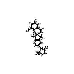 CN1c2ccc(N3C(=O)CCC3=O)cc2C(C)(C)C12C=Cc1cc(I)cc(I)c1O2